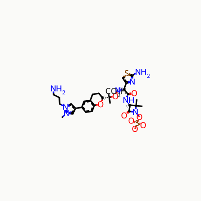 C[n+]1cc(-c2ccc3c(c2)CC[C@H](C(C)(O/N=C(\C(=O)N[C@@H]2C(=O)N(OS(=O)(=O)[O-])C2(C)C)c2csc(N)n2)C(=O)O)O3)cn1CCCN